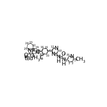 Cc1ccc(NC(=O)Nc2cncc(-c3ccc(OC[C@]4(C)CCCCN4C(=O)OC(C)(C)C)c(C)c3)n2)cn1